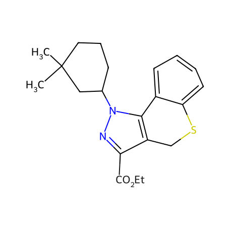 CCOC(=O)c1nn(C2CCCC(C)(C)C2)c2c1CSc1ccccc1-2